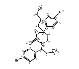 CCC(c1ccc(Br)cc1)N1CCC(CCCO)(c2ccc(F)cc2)OC1=O